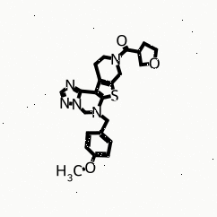 COc1ccc(CN2Cn3ncnc3-c3c2sc2c3CCN(C(=O)C3CCOC3)C2)cc1